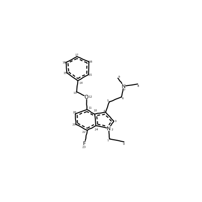 CCn1cc(CCN(C)C)c2c(OCc3ccccc3)ccc(F)c21